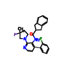 CC1(I)CCN(c2nccc(-c3ccccc3F)c2NC(=O)C2Cc3ccccc3C2)C1